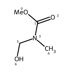 COC(=O)N(C)CO